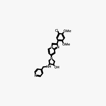 COc1cc(OC)c(-c2cn3ccc(N4CC(O)C(NCc5ccncc5)C4)cc3n2)cc1Cl